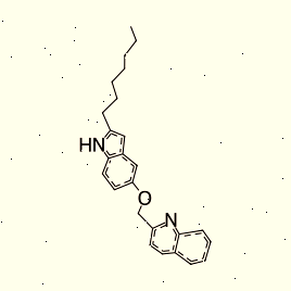 CCCCCCCc1cc2cc(OCc3ccc4ccccc4n3)ccc2[nH]1